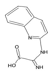 N=C(Nc1ccc2ccccc2n1)S(=O)O